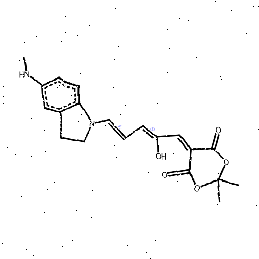 CNc1ccc2c(c1)CCN2/C=C/C=C(\O)C=C1C(=O)OC(C)(C)OC1=O